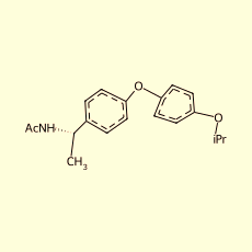 CC(=O)N[C@@H](C)c1ccc(Oc2ccc(OC(C)C)cc2)cc1